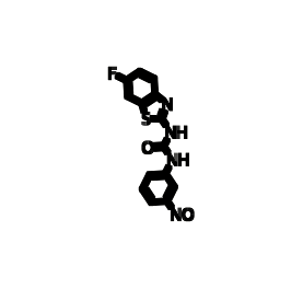 O=Nc1cccc(NC(=O)Nc2nc3ccc(F)cc3s2)c1